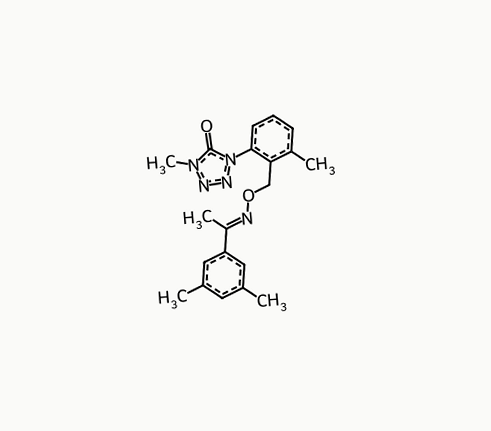 CC(=NOCc1c(C)cccc1-n1nnn(C)c1=O)c1cc(C)cc(C)c1